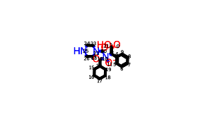 O=C(O)C(c1ccccc1)[N+]([O-])(C(=O)C1CCCCC1)C(=O)N1CCNCC1